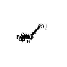 CC(C)S(=O)(=O)c1ccccc1Nc1nc(N[C@@H]2CCCN(CCCCCCCCCCC(=O)O)C2)ncc1Cl